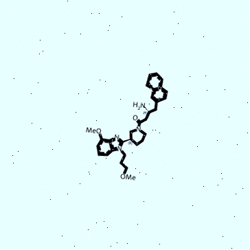 COCCCn1c([C@@H]2CCCN(C(=O)C[C@H](N)Cc3ccc4ccccc4c3)C2)nc2c(OC)cccc21